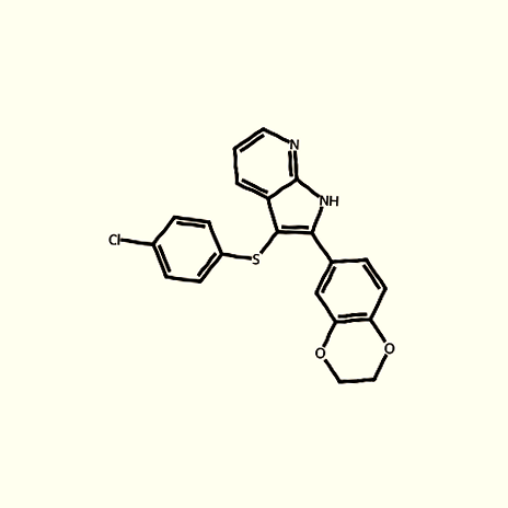 Clc1ccc(Sc2c(-c3ccc4c(c3)OCCO4)[nH]c3ncccc23)cc1